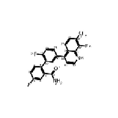 NC(=O)c1cc(F)ccc1-c1cc(-c2ccnc3c(F)c(C(F)(F)F)ccc23)ccc1F